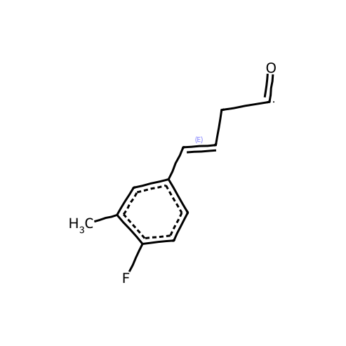 Cc1cc(/C=C/C[C]=O)ccc1F